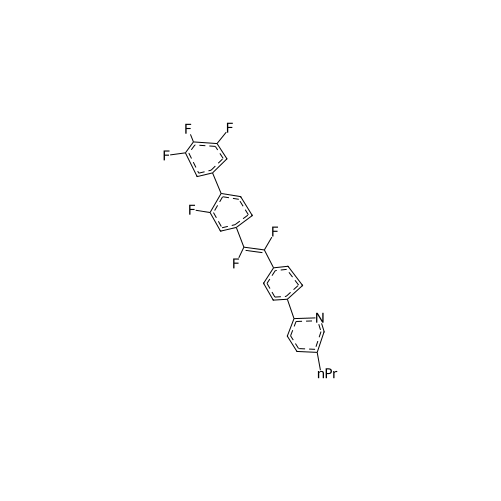 CCCc1ccc(-c2ccc(/C(F)=C(\F)c3ccc(-c4cc(F)c(F)c(F)c4)c(F)c3)cc2)nc1